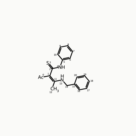 CC(=O)C(C(=S)Nc1ccccc1)=C(C)NCc1ccccc1